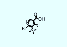 C[Si](C)(C)c1c(Br)ncc(C(=O)O)c1Cl